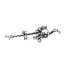 CC#CCOc1ccc(C[C@H](NC(=O)[C@@H](/C=C/CCCCCN[S+]([O-])CCCCCCCC)[C@@](O)(CCC)C(=O)O)C(=O)O)cc1